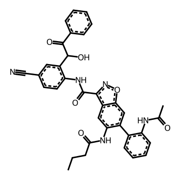 CCCC(=O)Nc1cc2c(C(=O)Nc3ccc(C#N)cc3C(O)C(=O)c3ccccc3)noc2cc1-c1ccccc1NC(C)=O